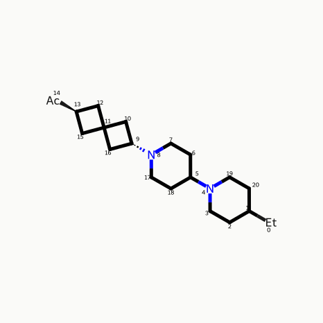 CCC1CCN(C2CCN([C@H]3CC4(C[C@H](C(C)=O)C4)C3)CC2)CC1